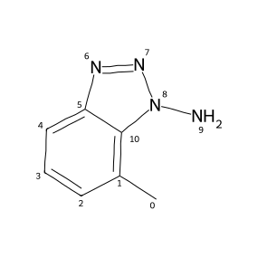 Cc1cccc2nnn(N)c12